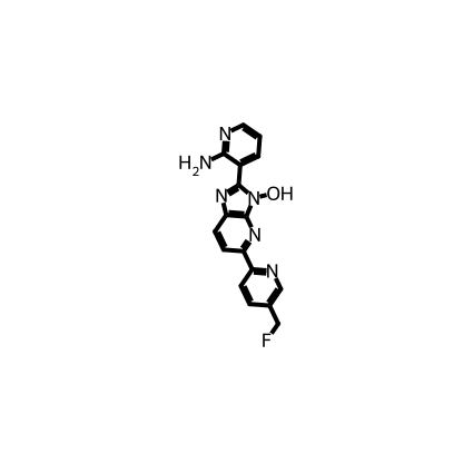 Nc1ncccc1-c1nc2ccc(-c3ccc(CF)cn3)nc2n1O